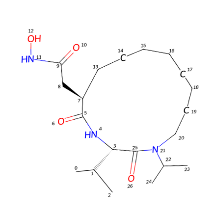 CC(C)[C@@H]1NC(=O)[C@@H](CC(=O)NO)CCCCCCCCN(C(C)C)C1=O